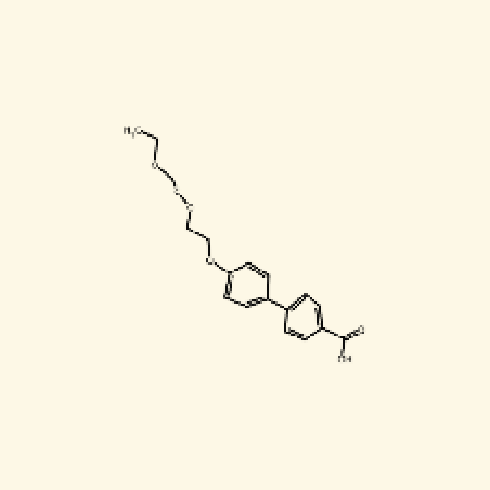 CCOCCOCCOc1ccc(-c2ccc(C(=O)O)cc2)cc1